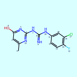 Cc1cc(O)nc(NC(=N)Nc2ccc(F)c(Cl)c2)n1